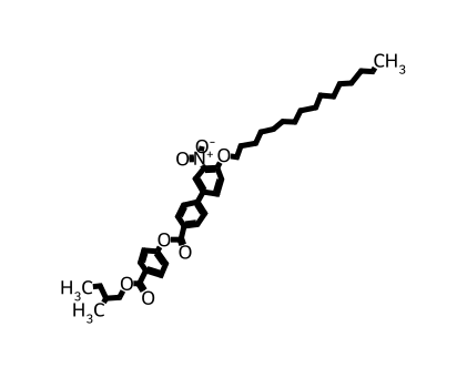 CCCCCCCCCCCCCCCCOc1ccc(-c2ccc(C(=O)Oc3ccc(C(=O)OCC(C)CC)cc3)cc2)cc1[N+](=O)[O-]